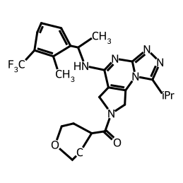 Cc1c(C(C)Nc2nc3nnc(C(C)C)n3c3c2CN(C(=O)C2CCOCC2)C3)cccc1C(F)(F)F